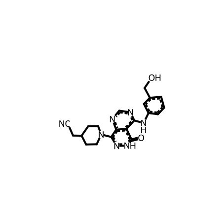 N#CCC1CCN(c2n[nH]c(=O)c3c(Nc4cccc(CO)c4)ncnc23)CC1